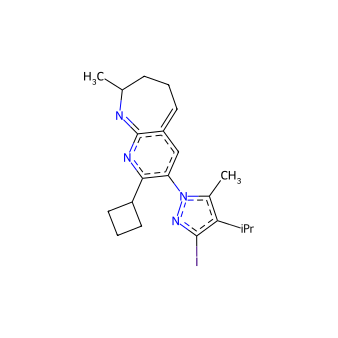 Cc1c(C(C)C)c(I)nn1-c1cc2c(nc1C1CCC1)=NC(C)CCC=2